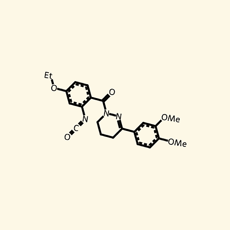 CCOc1ccc(C(=O)N2CCCC(c3ccc(OC)c(OC)c3)=N2)c(N=C=O)c1